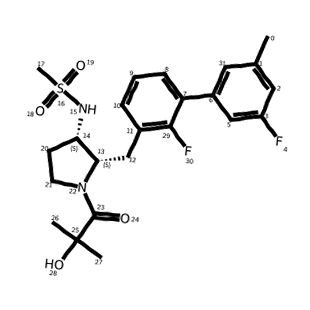 Cc1cc(F)cc(-c2cccc(C[C@H]3[C@@H](NS(C)(=O)=O)CCN3C(=O)C(C)(C)O)c2F)c1